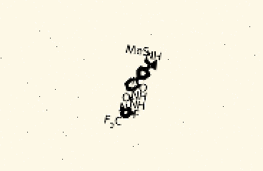 CSNCC1(c2ccc(N3CCC=C(NC(=O)Nc4ncc(C(F)(F)F)cc4F)C3=O)cc2)CC1